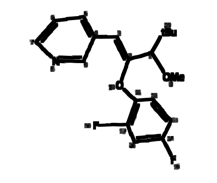 COC(C(=Cc1cccnc1)Oc1ccc(F)cc1F)C(C)(C)C